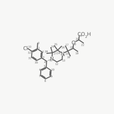 Cc1cc([C@@H](c2ccccc2)N2CCN(C(C)(C)C(C)OC(C)C(=O)O)C(C)(C)C2(C)C)ccc1Cl